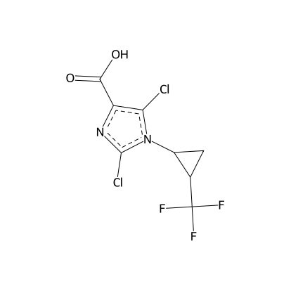 O=C(O)c1nc(Cl)n(C2CC2C(F)(F)F)c1Cl